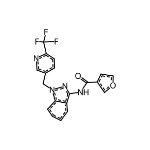 O=C(Nc1nn(Cc2ccc(C(F)(F)F)nc2)c2ccccc12)c1ccoc1